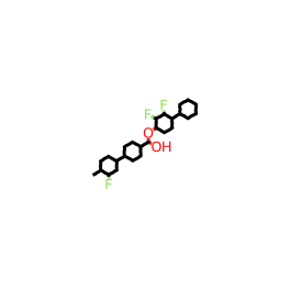 CC1CCC(C2CCC(C(O)OC3CCC(C4CCCCC4)C(F)C3F)CC2)CC1F